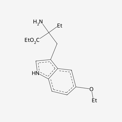 CCOC(=O)C(N)(CC)Cc1c[nH]c2ccc(OCC)cc12